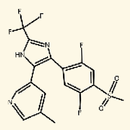 Cc1cncc(-c2[nH]c(C(F)(F)F)nc2-c2cc(F)c(S(C)(=O)=O)cc2F)c1